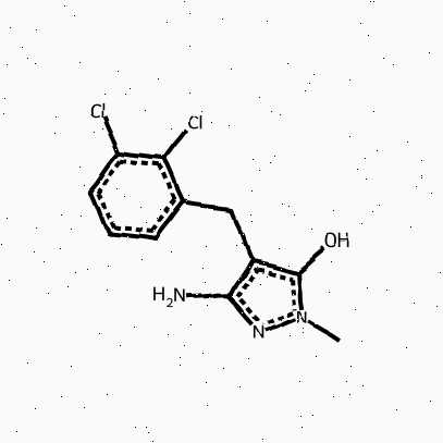 Cn1nc(N)c(Cc2cccc(Cl)c2Cl)c1O